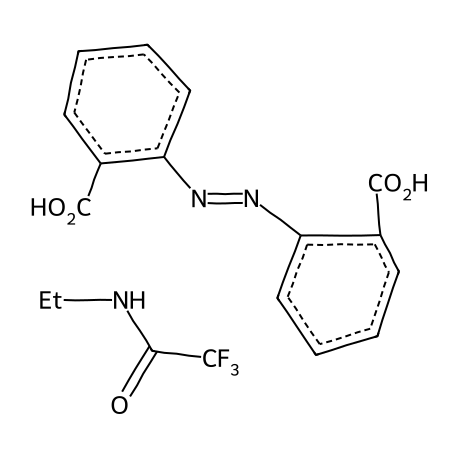 CCNC(=O)C(F)(F)F.O=C(O)c1ccccc1N=Nc1ccccc1C(=O)O